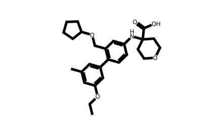 CCOc1cc(C)cc(-c2ccc(NC3(C(=O)O)CCOCC3)cc2COC2CCCC2)c1